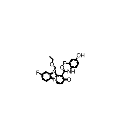 CCOCn1c2cc(F)ccc2n2ccc(=O)c(C(=O)Nc3ccc(O)cc3F)c12